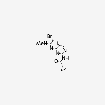 CNc1nc2nc(NC(=O)C3CC3)ncc2cc1Br